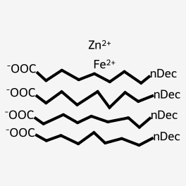 CCCCCCCCCCCCCCCCCC(=O)[O-].CCCCCCCCCCCCCCCCCC(=O)[O-].CCCCCCCCCCCCCCCCCC(=O)[O-].CCCCCCCCCCCCCCCCCC(=O)[O-].[Fe+2].[Zn+2]